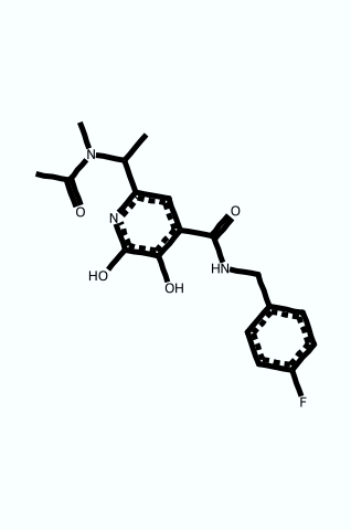 CC(=O)N(C)C(C)c1cc(C(=O)NCc2ccc(F)cc2)c(O)c(O)n1